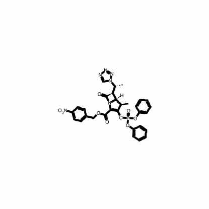 C[C@H]([C@@H]1C(=O)N2C(C(=O)OCc3ccc([N+](=O)[O-])cc3)=C(OP(=O)(Oc3ccccc3)Oc3ccccc3)[C@H](C)[C@H]12)n1cnnn1